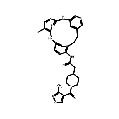 Cc1nocc1C(=O)N1CCC(CC(=O)Nc2ccc3cc2CCc2cncc(c2)Nc2ncc(Cl)c(n2)N3)CC1